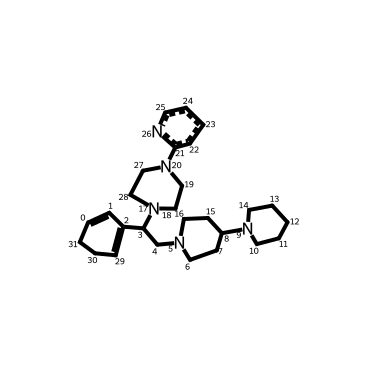 C1=CC(C(CN2CCC(N3CCCCC3)CC2)N2CCN(c3ccccn3)CC2)=CCC1